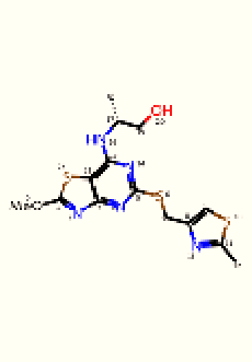 COc1nc2nc(SCc3csc(C)n3)nc(N[C@H](C)CO)c2s1